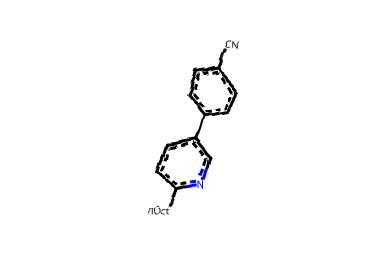 CCCCCCCCc1ccc(-c2ccc(C#N)cc2)cn1